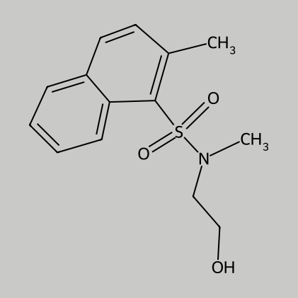 Cc1ccc2ccccc2c1S(=O)(=O)N(C)CCO